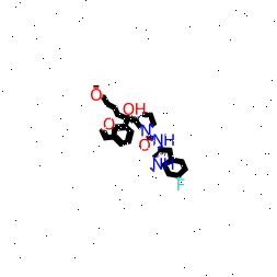 CNC[C@H](CC1CCC(F)CC1)NC(=O)N1CCC[C@@H]([C@@](O)(CCCCOC)c2cccc3ccoc23)C1